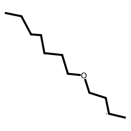 C[CH]CCOCCCCCCC